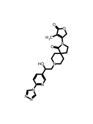 CC1=C(N2CCC3(CCN(CC(O)c4ccc(-n5cnnc5)nc4)CC3)C2=O)COC1=O